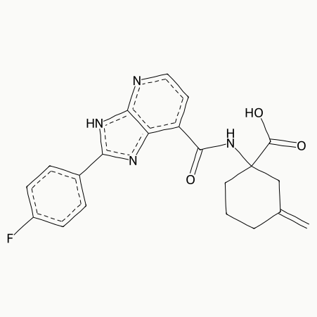 C=C1CCCC(NC(=O)c2ccnc3[nH]c(-c4ccc(F)cc4)nc23)(C(=O)O)C1